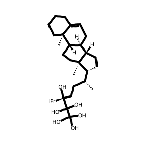 CC(C)[C@@](O)(CC[C@@H](C)[C@H]1CC[C@H]2[C@@H]3CC=C4CCCC[C@]4(C)[C@H]3CC[C@]12C)C(O)(O)C(O)(O)O